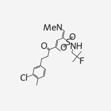 CN/C=C(\C=C(/C)C(=O)CCc1ccc(C)c(Cl)c1)S(=O)(=O)NCC(C)(C)F